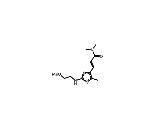 COCCNc1nc(C)c(C=CC(=O)N(C)C)s1